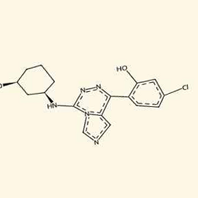 CO[C@H]1CCC[C@@H](Nc2nnc(-c3ccc(Cl)cc3O)c3cncn23)C1